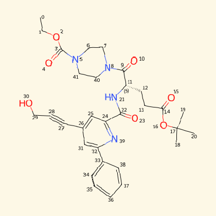 CCOC(=O)N1CCN(C(=O)[C@H](CCC(=O)OC(C)(C)C)NC(=O)c2cc(C#CCO)cc(-c3ccccc3)n2)CC1